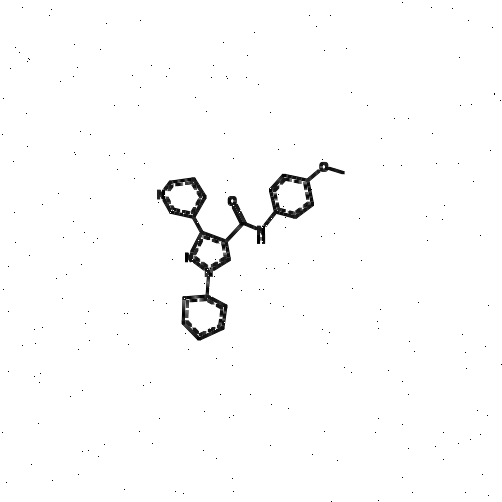 COc1ccc(NC(=O)c2cn(-c3ccccc3)nc2-c2cccnc2)cc1